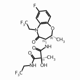 C[C@H]1Oc2ccc(F)cc2N(CC(F)(F)F)C(=O)[C@H]1NC(=O)[C@@](C)(O)C(=O)NCC(F)(F)F